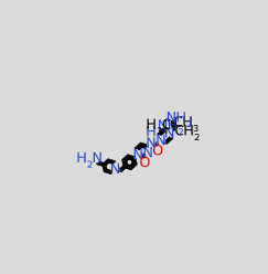 C=C(N1CCN(C(=O)Nc2ccn(-c3ccc(CN4CCC(CN)CC4)cc3)c(=O)n2)C[C@H]1N)C(C)(C)N